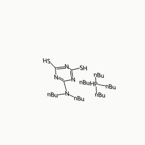 CCCCN(CCCC)c1nc(S)nc(S)n1.CCCC[PH](CCCC)(CCCC)CCCC